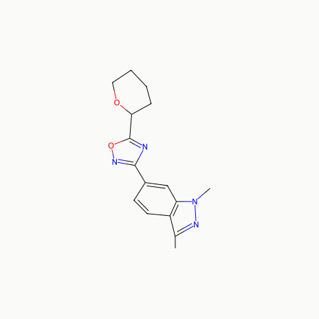 Cc1nn(C)c2cc(-c3noc(C4CCCCO4)n3)ccc12